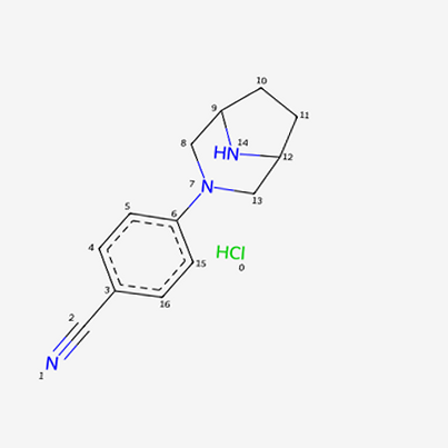 Cl.N#Cc1ccc(N2CC3CCC(C2)N3)cc1